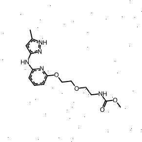 COC(=O)NCCOCCOc1cccc(Nc2cc(C)[nH]n2)n1